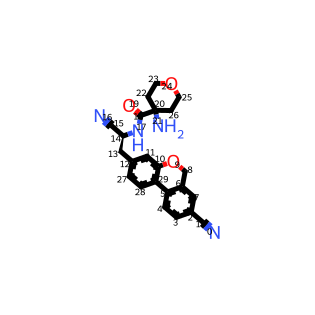 N#Cc1ccc2c(c1)COc1cc(C[C@@H](C#N)NC(=O)C3(N)CCOCC3)ccc1-2